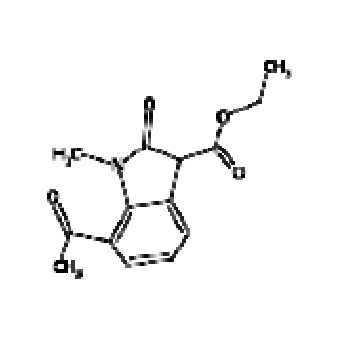 CCOC(=O)C1C(=O)N(C)c2c(C(C)=O)cccc21